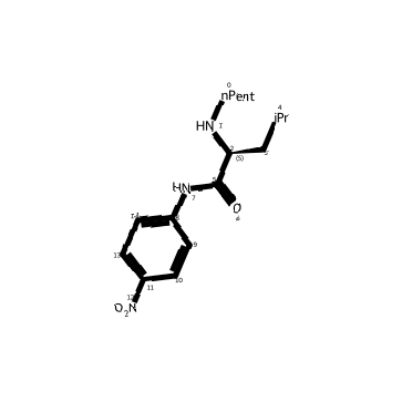 CCCCCN[C@@H](CC(C)C)C(=O)Nc1ccc([N+](=O)[O-])cc1